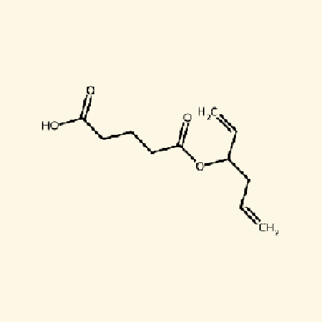 C=CCC(C=C)OC(=O)CCCC(=O)O